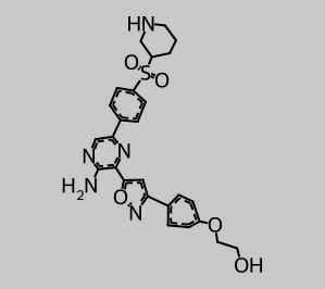 Nc1ncc(-c2ccc(S(=O)(=O)C3CCCNC3)cc2)nc1-c1cc(-c2ccc(OCCO)cc2)no1